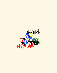 COC(=O)C1=C(CN2CCOCC2C(=O)O)N=C(c2nccs2)NC1c1ccc(F)cc1Cl.[CaH2]